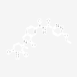 CCOc1ccc(C(=O)NC(=O)c2ccc3c(c2)C(=O)N(C2(C)CCC(=O)NC2=O)C3)nn1